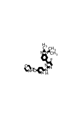 Cc1nc2ccc(-c3nc(Nc4ccc(OC[C@H]5COCCN5)cn4)ncc3F)cc2n1C(C)C